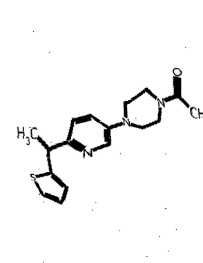 CC(=O)N1CCN(c2ccc(C(C)c3cc[c]s3)nc2)CC1